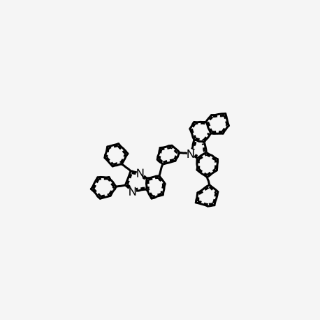 c1ccc(-c2ccc3c4c5ccccc5ccc4n(-c4cccc(-c5cccc6nc(-c7ccccc7)c(-c7ccccc7)nc56)c4)c3c2)cc1